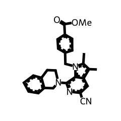 COC(=O)c1ccc(Cn2c(C)c(C)c3cc(C#N)nc(N4CCc5ccccc5C4)c32)cc1